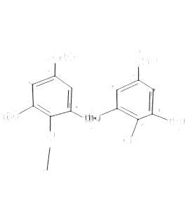 CC.CC(C)(C)c1cc(C=O)cc(C(C)(C)C)c1Cl.CC(C)(C)c1cc(C=O)cc(C(C)(C)C)c1Cl